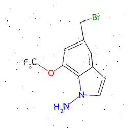 Nn1ccc2cc(CBr)cc(OC(F)(F)F)c21